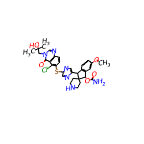 COc1ccc2c(c1)C(OC(N)=O)C1(CCNCC1)C2c1cnc(Sc2ccc3ncn(CC(C)(C)O)c(=O)c3c2Cl)cn1